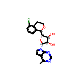 Cc1ncnc2c1ccn2[C@@H]1O[C@H]([C@@H]2OCCc3c(Cl)cccc32)[C@@H](O)[C@H]1O